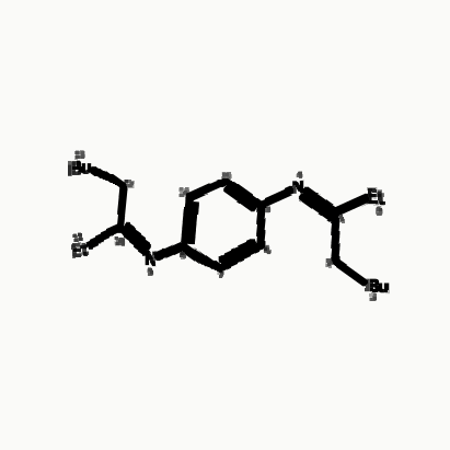 CCC(CC(C)CC)=Nc1ccc(N=C(CC)CC(C)CC)cc1